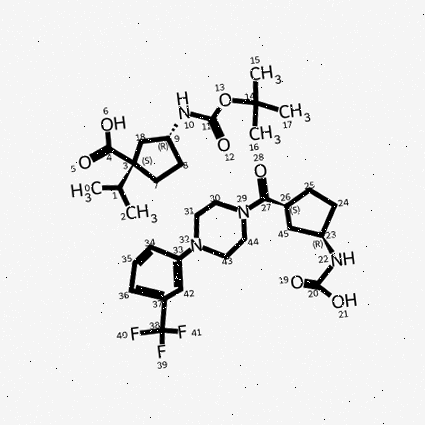 CC(C)[C@]1(C(=O)O)CC[C@@H](NC(=O)OC(C)(C)C)C1.O=C(O)N[C@@H]1CC[C@H](C(=O)N2CCN(c3cccc(C(F)(F)F)c3)CC2)C1